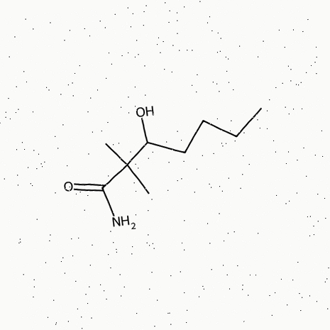 CCCCC(O)C(C)(C)C(N)=O